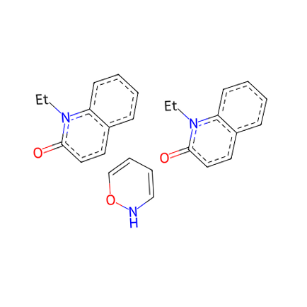 C1=CNOC=C1.CCn1c(=O)ccc2ccccc21.CCn1c(=O)ccc2ccccc21